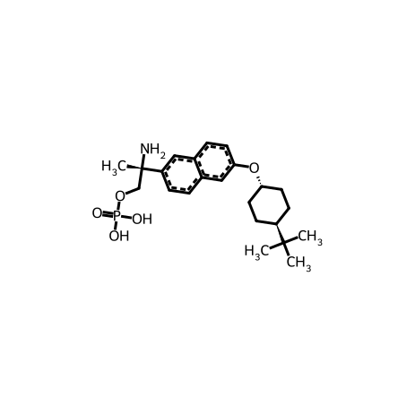 CC(C)(C)[C@H]1CC[C@H](Oc2ccc3cc([C@@](C)(N)COP(=O)(O)O)ccc3c2)CC1